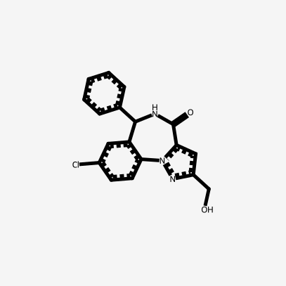 O=C1NC(c2ccccc2)c2cc(Cl)ccc2-n2nc(CO)cc21